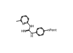 CCCCCc1ccc(NC(=N)Nc2cccc(C)n2)cc1